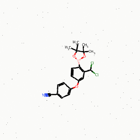 CC1(C)OB(c2ccc(Oc3ccc(C#N)cc3)cc2C(Cl)Cl)OC1(C)C